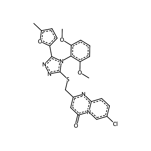 COc1cccc(OC)c1-n1c(SCc2cc(=O)n3cc(Cl)ccc3n2)nnc1-c1ccc(C)o1